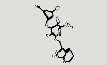 Cc1nc(OCc2n[nH]c3ncccc23)c(Cl)c(Oc2cc(Cl)cc(C#N)c2)c1Cl